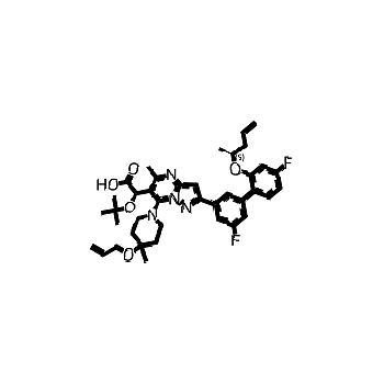 C=CCOC1(C)CCN(c2c(C(OC(C)(C)C)C(=O)O)c(C)nc3cc(-c4cc(F)cc(-c5ccc(F)cc5O[C@@H](C)CC=C)c4)nn23)CC1